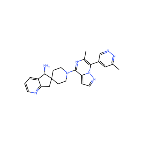 Cc1cc(-c2c(C)nc(N3CCC4(CC3)Cc3ncccc3[C@H]4N)c3ccnn23)cnn1